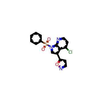 O=S(=O)(c1ccccc1)n1cc(-c2ccno2)c2c(Cl)ccnc21